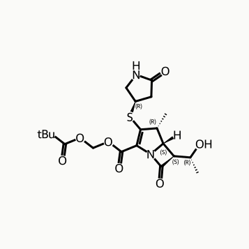 C[C@@H](O)[C@H]1C(=O)N2C(C(=O)OCOC(=O)C(C)(C)C)=C(S[C@H]3CNC(=O)C3)[C@H](C)[C@H]12